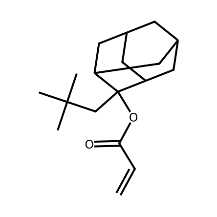 C=CC(=O)OC1(CC(C)(C)C)C2CC3CC(C2)CC1C3